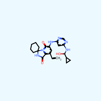 C=Cc1cc(Nc2cc(NC(O)C3CC3)ncn2)c(=O)n2c1C(=O)NC21CCCCC1